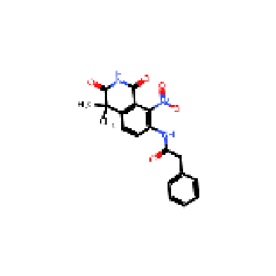 CC1(C)C(=O)NC(=O)c2c1ccc(NC(=O)Cc1ccccc1)c2[N+](=O)[O-]